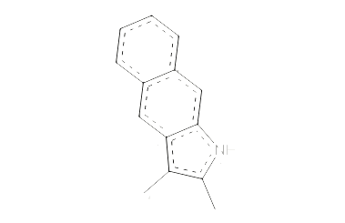 Cc1[nH]c2cc3ccccc3cc2c1C